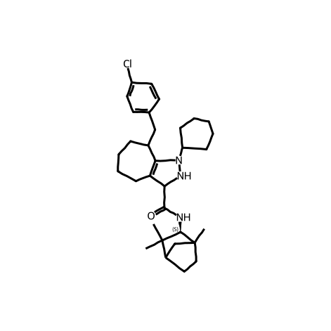 CC12CCC(C1)C(C)(C)[C@H]2NC(=O)C1NN(C2CCCCC2)C2=C1CCCCC2Cc1ccc(Cl)cc1